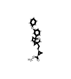 COC(=O)[C@@H]1C[C@@H]1CCC12COC3(c4cccc(Oc5ccccc5)c4)CCC13C2